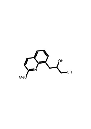 COc1ccc2cccc(CC(O)CO)c2n1